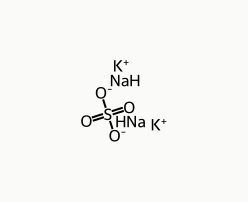 O=S(=O)([O-])[O-].[K+].[K+].[NaH].[NaH]